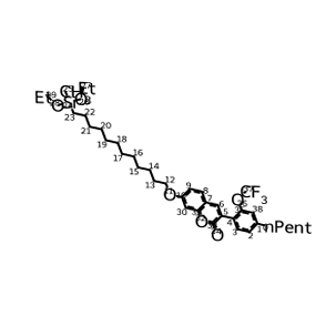 CCCCCc1ccc(-c2cc3ccc(OCCCCCCCCCCCC[Si](C)(OCC)OCC)cc3oc2=O)c(OC(F)(F)F)c1